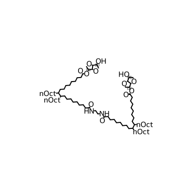 CCCCCCCCC(CCCCCCCCC(=O)NCCNC(=O)CCCCCCCCC(CCCCCCCC)C(CCCCCCCC)CCCCCCCCC(=O)O[C@H]1COC2C1OC[C@H]2O)C(CCCCCCCC)CCCCCCCCC(=O)O[C@H]1COC2C1OC[C@H]2O